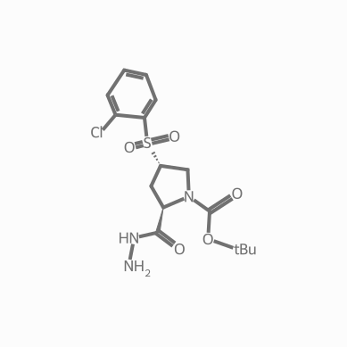 CC(C)(C)OC(=O)N1C[C@@H](S(=O)(=O)c2ccccc2Cl)C[C@@H]1C(=O)NN